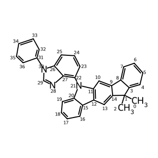 CC1(C)c2ccccc2-c2cc3c(cc21)c1ccccc1n3-c1cccc2c1ncn2-c1ccccc1